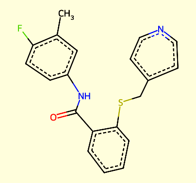 Cc1cc(NC(=O)c2ccccc2SCc2ccncc2)ccc1F